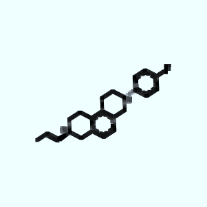 CC=C[C@H]1CCc2c(ccc3c2CC[C@H](c2ccc(F)cc2)C3)C1